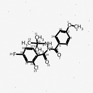 COc1ccc(C(=O)N(NC(C)(C)C)C(=O)c2ccc(F)cc2Cl)cc1